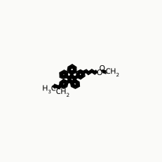 C=CC(=O)OCCCCCc1ccc(-c2c(-c3ccccc3)c(-c3ccccc3)c(-c3ccc(C(=C)CC)cc3)c3ccccc23)cc1